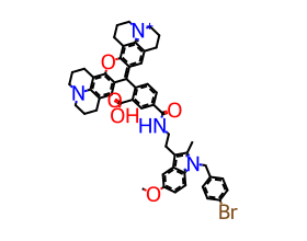 COc1ccc2c(c1)c(CCNC(=O)c1ccc(C3=c4cc5c6c(c4Oc4c3cc3c7c4CCCN7CCC3)CCC[N+]=6CCC5)c(C(=O)O)c1)c(C)n2Cc1ccc(Br)cc1